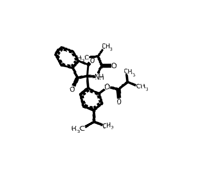 CC(C)C(=O)NC1(c2ccc(C(C)C)cc2OC(=O)C(C)C)C(=O)c2ccccc2C1=O